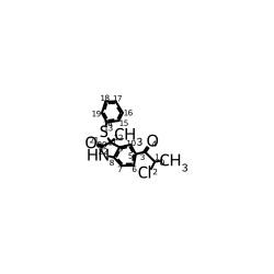 CC(Cl)C(=O)c1ccc2c(c1)C(C)(Sc1ccccc1)C(=O)N2